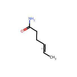 C/C=C/CCC(N)=O